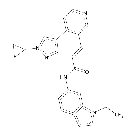 O=C(C=Cc1cnccc1-c1cnn(C2CC2)c1)Nc1ccc2ccn(CC(F)(F)F)c2c1